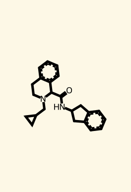 O=C(NC1Cc2ccccc2C1)C1c2ccccc2CCN1CC1CC1